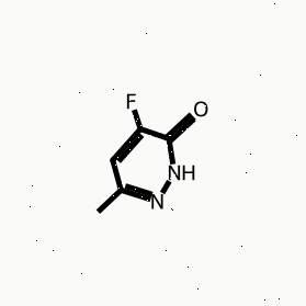 Cc1cc(F)c(=O)[nH]n1